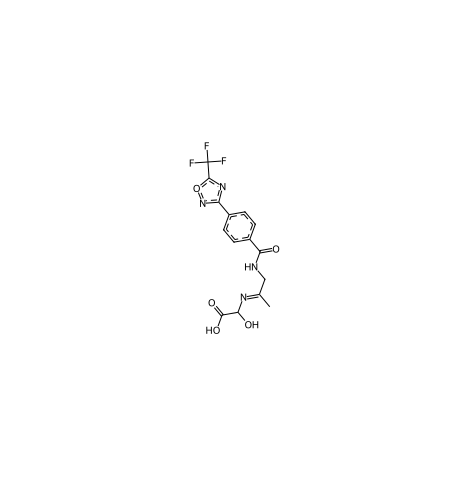 CC(CNC(=O)c1ccc(-c2noc(C(F)(F)F)n2)cc1)=NC(O)C(=O)O